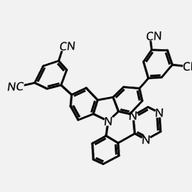 N#Cc1cc(C#N)cc(-c2ccc3c(c2)c2cc(-c4cc(C#N)cc(C#N)c4)ccc2n3-c2ccccc2-c2ncncn2)c1